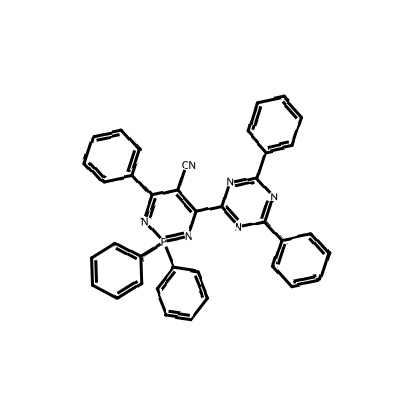 N#CC1=C(c2nc(-c3ccccc3)nc(-c3ccccc3)n2)N=P(c2ccccc2)(c2ccccc2)N=C1c1ccccc1